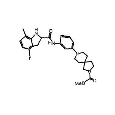 COC(=O)N1CCC2(CCN(c3cccc(NC(=O)C4Cc5c(F)ccc(C)c5N4)c3)CC2)C1